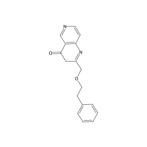 O=C1CC(COCCc2ccccc2)=Nc2ccncc21